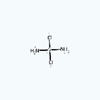 [NH2][V]([NH2])([Cl])[Cl]